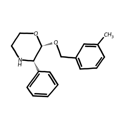 Cc1cccc(CO[C@H]2OCCN[C@H]2c2ccccc2)c1